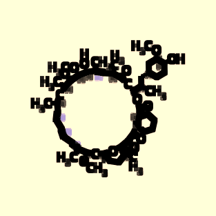 CO[C@H]1C[C@@H]2CC[C@@H](C)[C@@](O)(O2)C(=O)C(=O)N2CCCC[C@H]2C(=O)O[C@H]([C@H](C)C[C@H]2CC[C@@H](O)[C@H](OC)C2)CC(=O)[C@H](C)/C=C(\C)[C@@H](O)[C@@H](OC)C(=O)[C@H](C)C[C@H](C)/C=C/C=C/C=C/1C